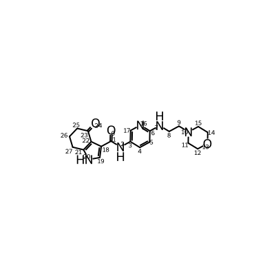 O=C(Nc1ccc(NCCN2CCOCC2)nc1)c1c[nH]c2c1C(=O)CCC2